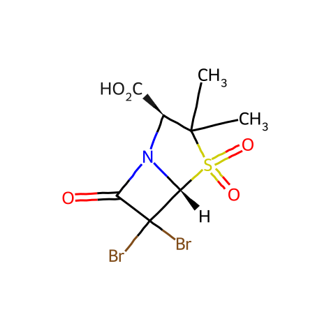 CC1(C)[C@H](C(=O)O)N2C(=O)C(Br)(Br)[C@H]2S1(=O)=O